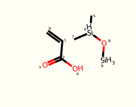 C=CC(=O)O.C[SiH](C)O[SiH3]